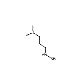 CN(C)CCCNS